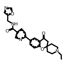 CCN1CCC2(CC1)CC(=O)c1cc(-c3ccc(C(=O)NCc4cnco4)cn3)ccc1O2